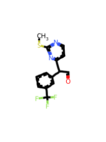 CSc1nccc(C(C=O)c2cccc(C(F)(F)F)c2)n1